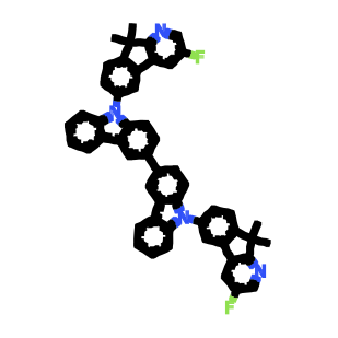 CC1(C)c2ccc(-n3c4ccccc4c4cc(-c5ccc6c(c5)c5ccccc5n6-c5ccc6c(c5)-c5cc(F)cnc5C6(C)C)ccc43)cc2-c2cc(F)cnc21